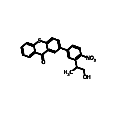 CC(CO)c1cc(-c2ccc3sc4ccccc4c(=O)c3c2)ccc1[N+](=O)[O-]